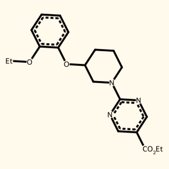 CCOC(=O)c1cnc(N2CCCC(Oc3ccccc3OCC)C2)nc1